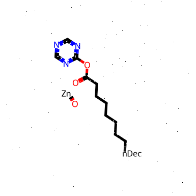 CCCCCCCCCCCCCCCCCC(=O)Oc1ncncn1.[O]=[Zn]